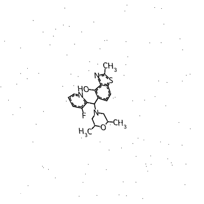 Cc1nc2c(O)c(C(c3ncccc3F)N3CC(C)OC(C)C3)ccc2s1